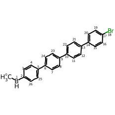 CBc1ccc(-c2ccc(-c3ccc(-c4ccc(Br)cc4)cc3)cc2)cc1